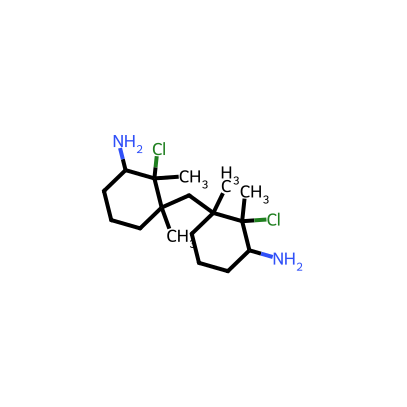 CC1(CC2(C)CCCC(N)C2(C)Cl)CCCC(N)C1(C)Cl